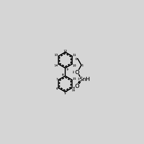 CC[O][SnH]=[O].[c]1ccc(-c2ccccc2)cc1